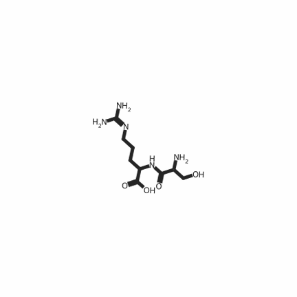 NC(N)=NCCCC(NC(=O)C(N)CO)C(=O)O